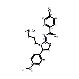 CC(=O)NCCCn1c(-c2ccc(OC(F)(F)F)cc2)cs/c1=N\C(=O)c1ccc(Cl)cc1